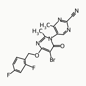 Cc1nc(C#N)ncc1-n1c(C)nc(OCc2ccc(F)cc2F)c(Br)c1=O